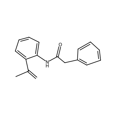 C=C(C)c1ccccc1NC(=O)Cc1ccccc1